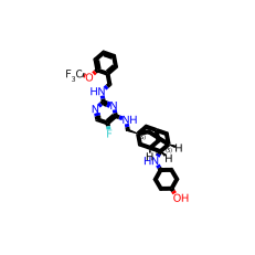 OC1CCC(N[C@@H]2[C@@H]3CC4C[C@H]2C[C@@](CNc2nc(NCc5ccccc5OC(F)(F)F)ncc2F)(C4)C3)CC1